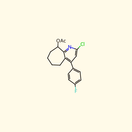 CC(=O)OC1CCCCc2c(-c3ccc(F)cc3)cc(Cl)nc21